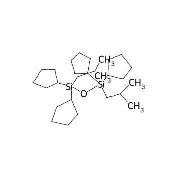 CC(C)C[Si](O[Si](CC(C)C)(C1CCCC1)C1CCCC1)(C1CCCC1)C1CCCC1